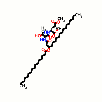 CCCCCCCCCCCCCCCC(=O)OC(CCCCCCCCCCCCCCC)CC(=O)N[C@@H](C(=O)N[C@H](CCC(=O)OC)C(=O)OC)[C@H](C)O